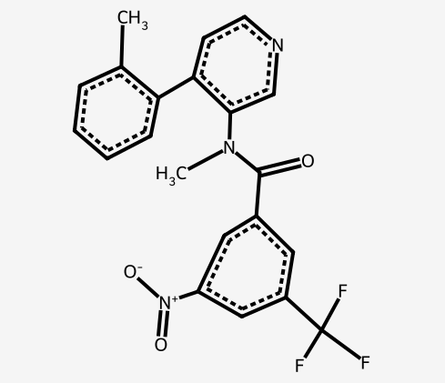 Cc1ccccc1-c1ccncc1N(C)C(=O)c1cc([N+](=O)[O-])cc(C(F)(F)F)c1